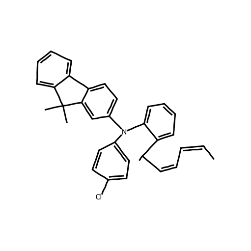 C/C=C\C=C/C(C)c1ccccc1N(c1ccc(Cl)cc1)c1ccc2c(c1)C(C)(C)c1ccccc1-2